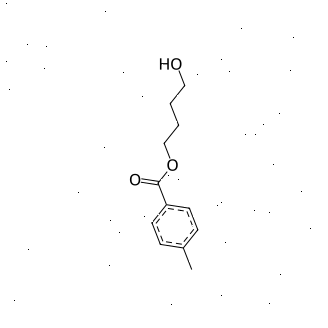 Cc1ccc(C(=O)OCCCCO)cc1